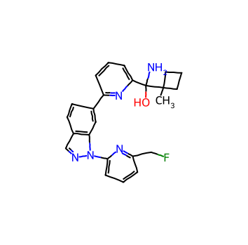 CC1(C(N)(O)c2cccc(-c3ccc4cnn(-c5cccc(CF)n5)c4c3)n2)CCC1